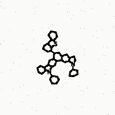 c1ccc(-n2ccc3cc4cc(-c5cccc6c5sc5ccccc56)c5cc6c7ccccc7n(-c7ccccc7)c6cc5c4cc32)cc1